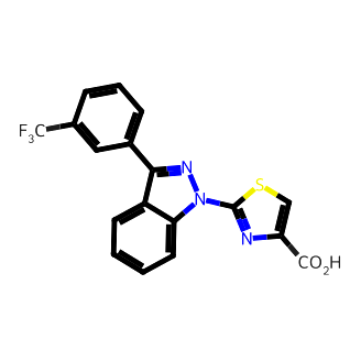 O=C(O)c1csc(-n2nc(-c3cccc(C(F)(F)F)c3)c3ccccc32)n1